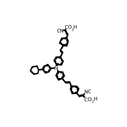 [C-]#[N+]/C(=C\c1ccc(/C=C/c2ccc(N(c3ccc(/C=C/c4ccc(/C=C(\[N+]#[C-])C(=O)O)cc4)cc3)c3ccc(C4CCCCC4)cc3)cc2)cc1)C(=O)O